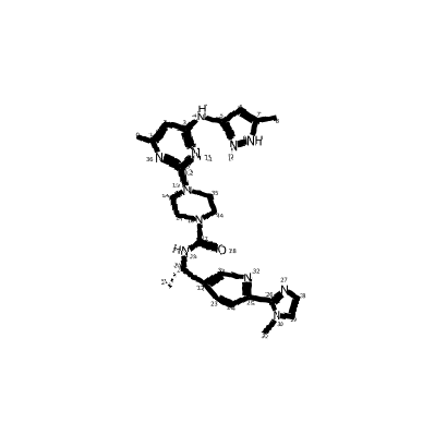 Cc1cc(Nc2cc(C)[nH]n2)nc(N2CCN(C(=O)N[C@@H](C)c3ccc(-c4nccn4C)nc3)CC2)n1